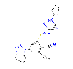 Cc1cc(-n2nnc3ccccc32)cc(SNC(=N)/C=C\NC2CCCC2)c1C#N